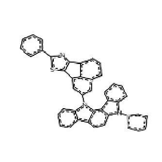 c1ccc(-c2nc3c(s2)-c2cc(-n4c5ccccc5c5ccc6c(c7ccccc7n6-c6ccccc6)c54)cc4cccc-3c24)cc1